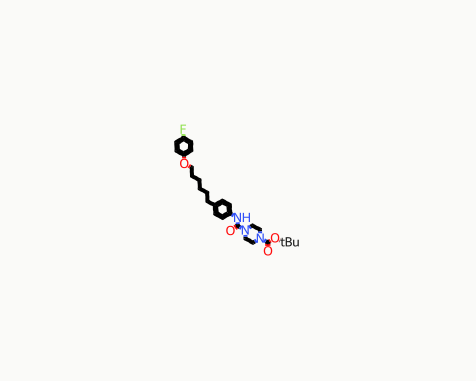 CC(C)(C)OC(=O)N1CCN(C(=O)Nc2ccc(CCCCCCOc3ccc(F)cc3)cc2)CC1